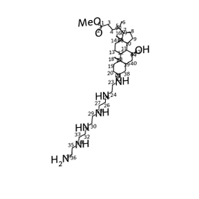 COC(=O)CC[C@@H](C)[C@H]1CCC2C3C(CC[C@@]21C)[C@@]1(C)CC[C@H](NCCNCCNCCNCCNCCN)CC1C[C@H]3O